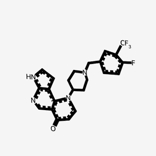 O=c1ccn(C2CCN(Cc3ccc(F)c(C(F)(F)F)c3)CC2)c2c1cnc1[nH]ccc12